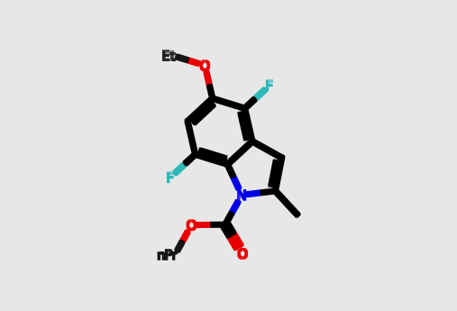 CCCOC(=O)n1c(C)cc2c(F)c(OCC)cc(F)c21